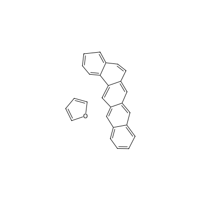 c1ccc2cc3cc4c(ccc5ccccc54)cc3cc2c1.c1ccoc1